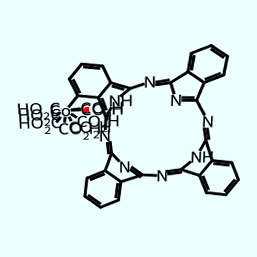 O=[C](O)[Co]([C](=O)O)([C](=O)O)([C](=O)O)([C](=O)O)([C](=O)O)([C](=O)O)([C](=O)O)[c]1cccc2c3nc4nc(nc5[nH]c(nc6nc(nc([nH]3)c12)-c1ccccc1-6)c1ccccc51)-c1ccccc1-4